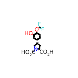 O=C(O)[C@H]1C[C@@H](c2ccc(OC(F)F)c(O)c2)CN1C(=O)O